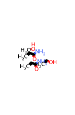 C=CC(N)=O.C=CC(N)=O.C=CO.CO